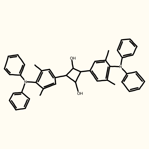 Cc1cc(C2C(O)C(c3cc(C)c(N(c4ccccc4)c4ccccc4)c(C)c3)C2O)cc(C)c1N(c1ccccc1)c1ccccc1